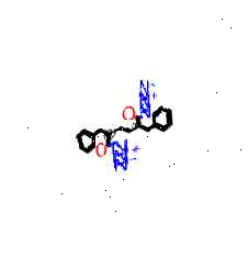 [N-]=[N+]=NC(=O)[C@H](CC[C@H](Cc1ccccc1)C(=O)N=[N+]=[N-])Cc1ccccc1